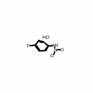 Cl.Fc1ccc(NN(Cl)Cl)cc1